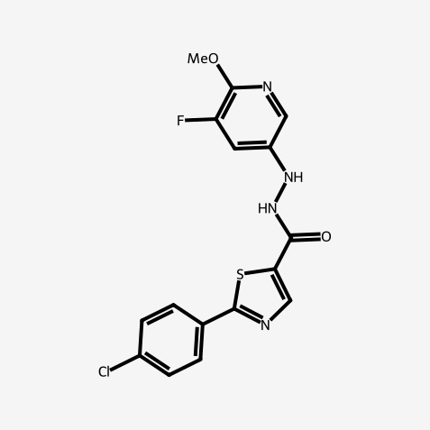 COc1ncc(NNC(=O)c2cnc(-c3ccc(Cl)cc3)s2)cc1F